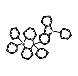 c1ccc(-n2c3ccccc3c3cc(C4(c5ccccc5)c5ccccc5[Si](c5ccccc5)(c5ccccc5)c5ccccc54)ccc32)cc1